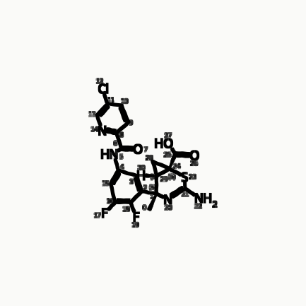 C[C@]1(c2cc(NC(=O)c3ccc(Cl)cn3)cc(F)c2F)N=C(N)S[C@@]2(C(=O)O)C[C@H]21